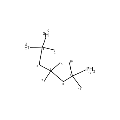 [3H]C(C)(CC)CC(C)(C)CC(C)(C)P